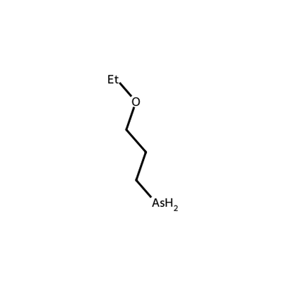 CCOCCC[AsH2]